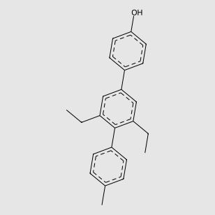 CCc1cc(-c2ccc(O)cc2)cc(CC)c1-c1ccc(C)cc1